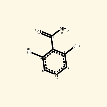 NC(=O)c1c(Cl)cncc1Cl